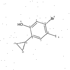 Oc1cc(Br)c(I)cc1C1CC1